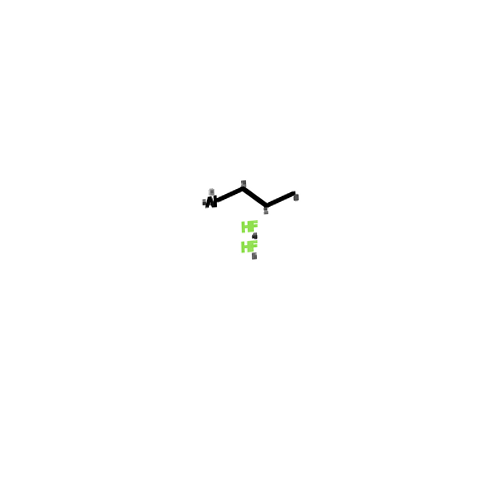 CC[CH2][Al].F.F